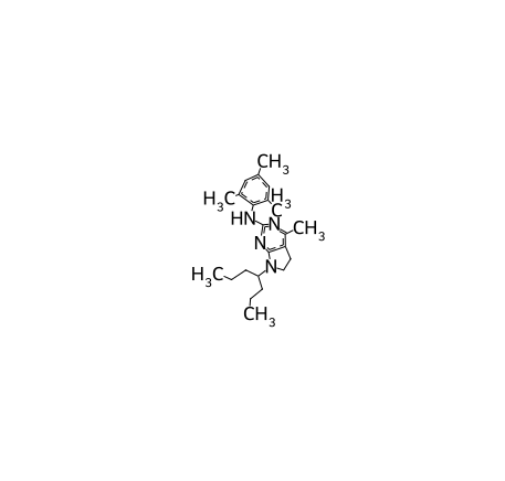 CCCC(CCC)N1CCc2c(C)nc(Nc3c(C)cc(C)cc3C)nc21